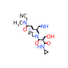 CC(C)CN(/C=C(C=N)\C=C\C(=O)N(C)CC#N)C(=O)/C(=C/O)C(=O)NC1CC1